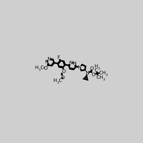 COCOc1cc(-c2cnnc(OC)c2)c(F)cc1-c1ccc(N2CC[C@H](N(C(=O)OC(C)(C)C)C3CC3)C2)nn1